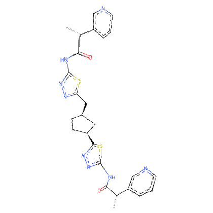 C[C@H](C(=O)Nc1nnc([C@H]2CC[C@@H](Cc3nnc(NC(=O)[C@H](C)c4cccnc4)s3)C2)s1)c1cccnc1